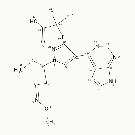 CCC(C/C=N\OC)n1cc(-c2ncnc3[nH]ccc23)cn1.O=C(O)C(F)(F)F